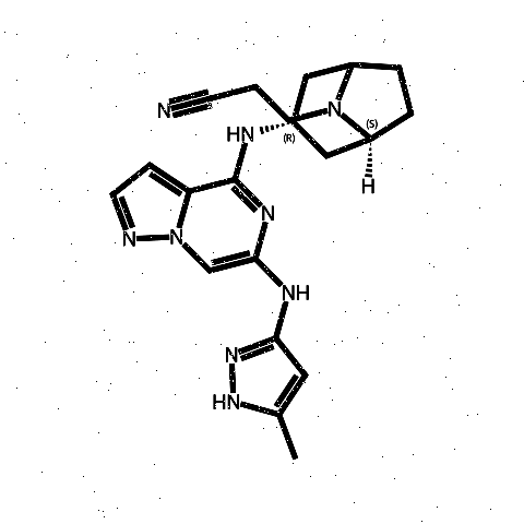 Cc1cc(Nc2cn3nccc3c(N[C@@H]3CC4CC[C@@H](C3)N4CCC#N)n2)n[nH]1